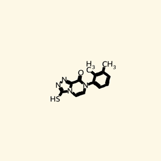 Cc1cccc(-n2ccn3c(S)nnc3c2=O)c1C